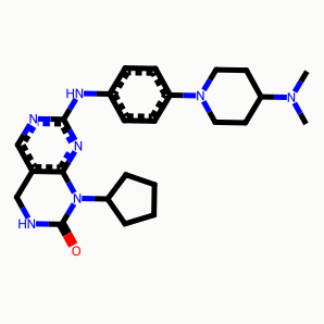 CN(C)C1CCN(c2ccc(Nc3ncc4c(n3)N(C3CCCC3)C(=O)NC4)cc2)CC1